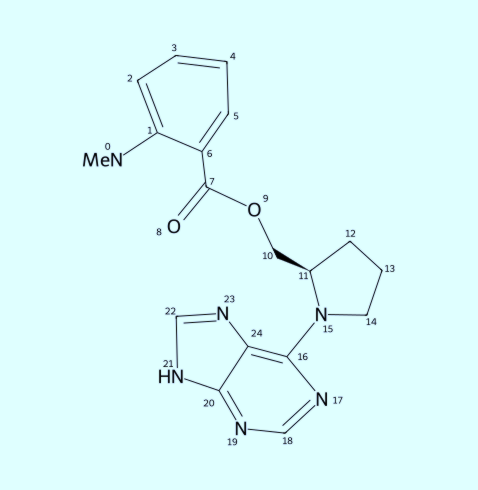 CNc1ccccc1C(=O)OC[C@H]1CCCN1c1ncnc2[nH]cnc12